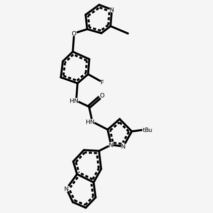 Cc1cc(Oc2ccc(NC(=O)Nc3cc(C(C)(C)C)nn3-c3ccc4ncccc4c3)c(F)c2)ccn1